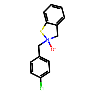 [O-][N+]1(Cc2ccc(Cl)cc2)Cc2ccccc2S1